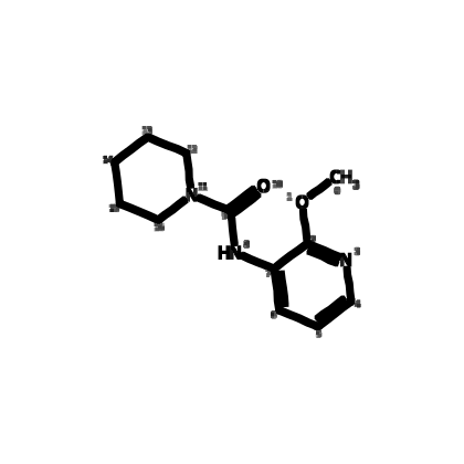 COc1ncccc1NC(=O)N1CCCCC1